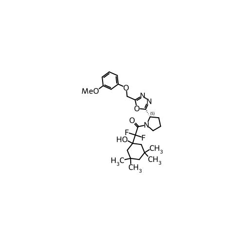 COc1cccc(OCc2nnc([C@@H]3CCCN3C(=O)C(F)(F)C3(O)CC(C)(C)CC(C)(C)C3)o2)c1